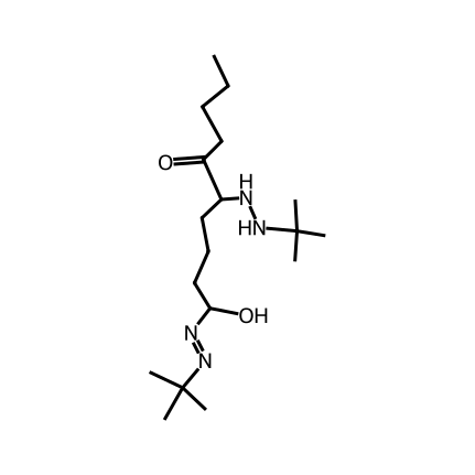 CCCCC(=O)C(CCCC(O)N=NC(C)(C)C)NNC(C)(C)C